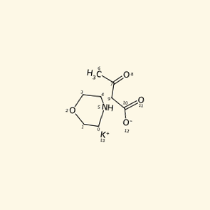 C1COCCN1.CC(=O)CC(=O)[O-].[K+]